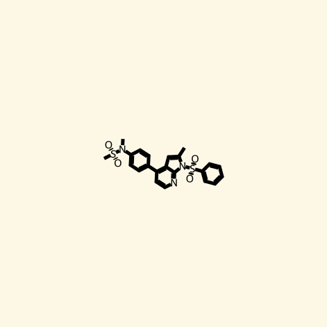 Cc1cc2c(-c3ccc(N(C)S(C)(=O)=O)cc3)ccnc2n1S(=O)(=O)c1ccccc1